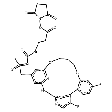 CS(=O)(Cc1cc2nc(c1)OCCCOc1cc(F)ccc1-c1cc(ncc1F)N2)=NC(=O)NCCC(=O)ON1C(=O)CCC1=O